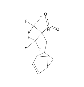 O=[SH](=O)C(CC1CC2C=CC1C2)(C(F)(F)F)C(F)(F)F